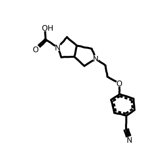 N#Cc1ccc(OCCN2CC3CN(C(=O)O)CC3C2)cc1